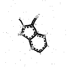 Cn1[nH]c2nccnc2c1=O